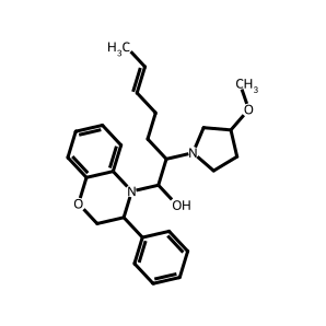 CC=CCCC(C(O)N1c2ccccc2OCC1c1ccccc1)N1CCC(OC)C1